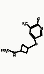 O=C(O)NC1CC(Oc2cnc(Cl)c(C(F)(F)F)c2)C1